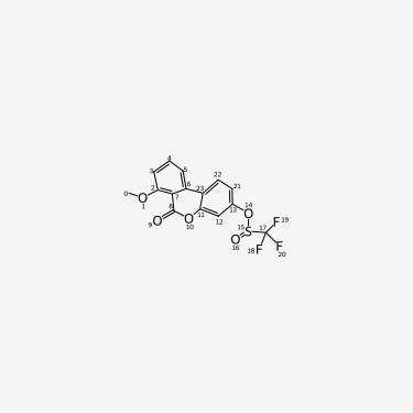 COc1cccc2c1c(=O)oc1cc(OS(=O)C(F)(F)F)ccc12